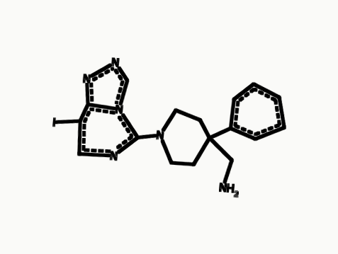 NCC1(c2ccccc2)CCN(c2ncc(I)c3nncn23)CC1